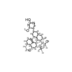 COc1nc(O)ncc1-c1ccc2c(-c3ccc4c5c(ccnc35)CCO4)c([C@H](OC(C)(C)C)C(C)=O)c(C)cc2c1